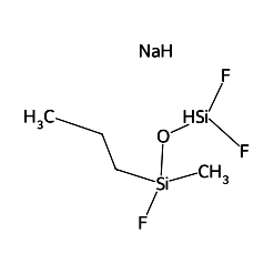 CCC[Si](C)(F)O[SiH](F)F.[NaH]